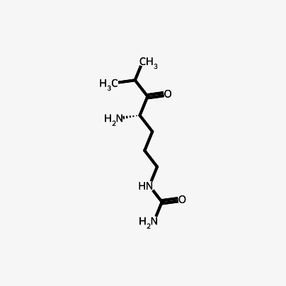 CC(C)C(=O)[C@@H](N)CCCNC(N)=O